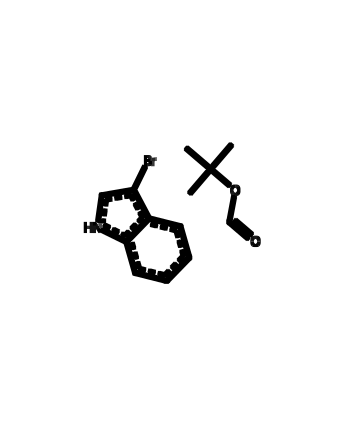 Brc1c[nH]c2ccccc12.CC(C)(C)OC=O